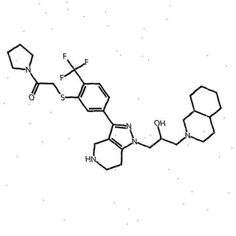 O=C(CSc1cc(-c2nn(CC(O)CN3CCC4CCCCC4C3)c3c2CNCC3)ccc1C(F)(F)F)N1CCCC1